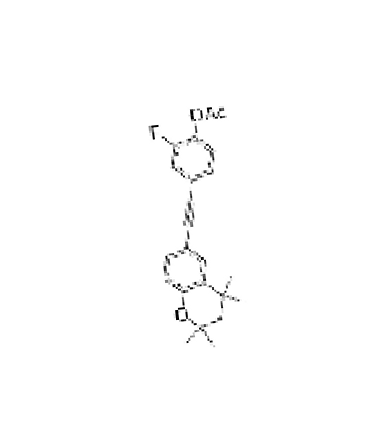 CC(=O)Oc1ccc(C#Cc2ccc3c(c2)C(C)(C)CC(C)(C)O3)cc1F